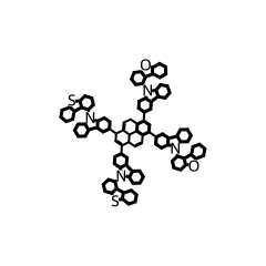 C1=CC2C(c3ccc4c(c3)c3ccccc3n4-c3cccc4sc5ccccc5c34)=CC(c3ccc4c(c3)c3ccccc3n4-c3cccc4sc5ccccc5c34)C3=CCc4c(-c5ccc6c(c5)c5ccccc5n6-c5cccc6oc7ccccc7c56)cc(-c5ccc6c(c5)c5ccccc5n6-c5cccc6oc7ccccc7c56)c1c4C32